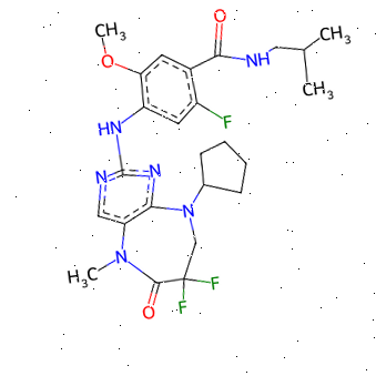 COc1cc(C(=O)NCC(C)C)c(F)cc1Nc1ncc2c(n1)N(C1CCCC1)CC(F)(F)C(=O)N2C